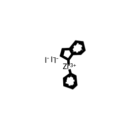 C1=C[CH]([Zr+3][c]2ccccc2)c2ccccc21.[I-].[I-].[I-]